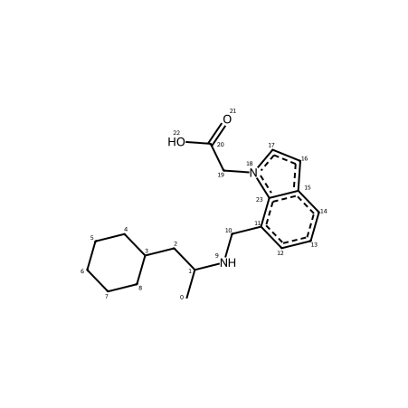 CC(CC1CCCCC1)NCc1cccc2ccn(CC(=O)O)c12